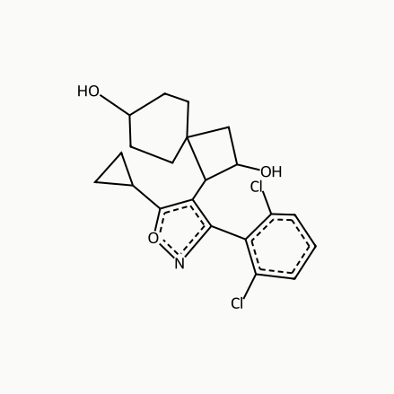 OC1CCC2(CC1)CC(O)C2c1c(-c2c(Cl)cccc2Cl)noc1C1CC1